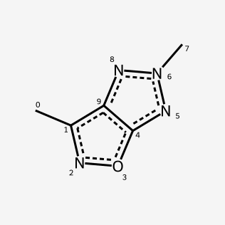 Cc1noc2nn(C)nc12